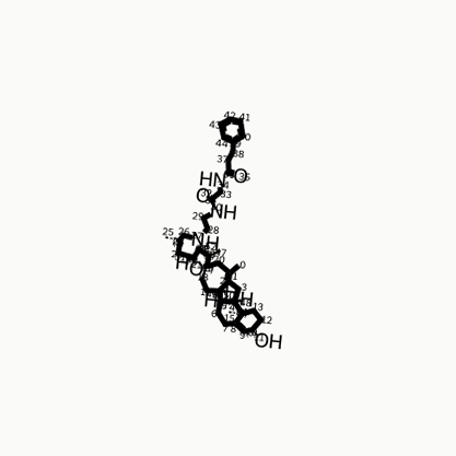 CC1=C2C[C@H]3[C@@H](CCC4=C[C@@H](O)CC[C@@]43C)[C@@H]2CC[C@@]2(C1)O[C@@H]1C[C@H](C)CN(CCNC(=O)CNC(=O)CCc3ccccc3)[C@H]1[C@H]2C